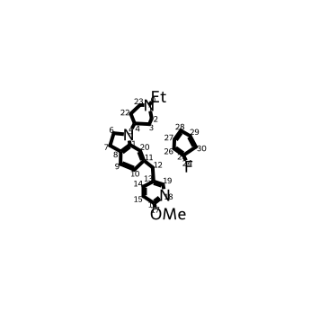 CCN1CCC(N2CCc3ccc(Cc4ccc(OC)nc4)cc32)CC1.Fc1ccccc1